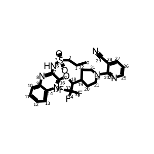 CCCS(=O)(=O)Nc1nc2ccccc2nc1OC(C1CCN(c2ncccc2C#N)CC1)C(F)(F)F